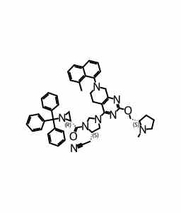 Cc1cccc2cccc(N3CCc4c(nc(OC[C@@H]5CCCN5C)nc4N4C[C@H](CC#N)N(C(=O)[C@H]5CN5C(c5ccccc5)(c5ccccc5)c5ccccc5)C4)C3)c12